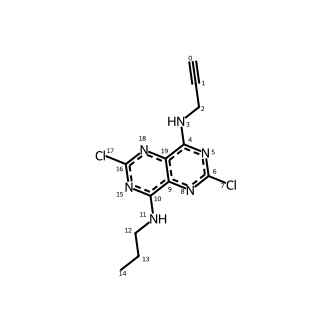 C#CCNc1nc(Cl)nc2c(NCCC)nc(Cl)nc12